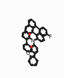 Fc1ccc(-c2cccc3cccc(-c4ccccc4N(c4ccc5c(c4)oc4ccccc45)c4ccccc4-c4ccccc4)c23)cc1